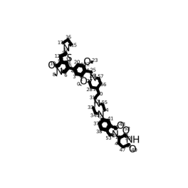 COc1cc(-c2cn(C)c(=O)c3cc(N4CCC4)sc23)cc(OC)c1CN1CCC(CCN2CCN(c3ccc4c(c3)C(=O)N(C3CCC(=O)NC3=O)C4)CC2)CC1